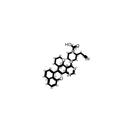 N#CCC1CN(c2ncnc3cc(-c4cccc5cccc(Cl)c45)c4c(c23)OCCC4)CCN1C(=O)O